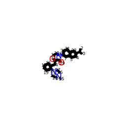 CC(C)c1ccc2cc(N3CCOC(Cc4ccccc4N4CCN(C)CC4)C3=O)ccc2c1